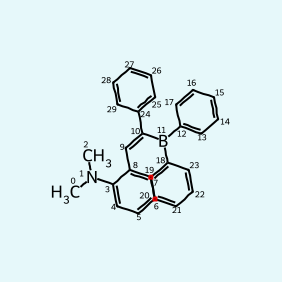 CN(C)c1ccccc1/C=C(\B(c1ccccc1)c1ccccc1)c1ccccc1